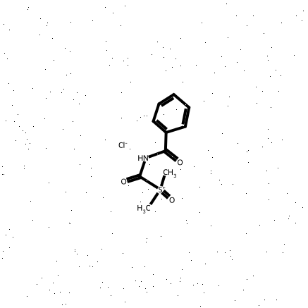 C[S+](C)(=O)C(=O)NC(=O)c1ccccc1.[Cl-]